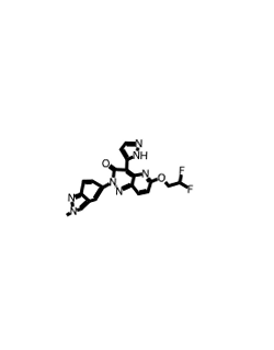 Cn1cc2cc(-n3nc4ccc(OCC(F)F)nc4c(-c4ccn[nH]4)c3=O)ccc2n1